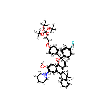 COc1cc2c3c(c4c(c2cc1N1CCCCC1)-c1ccccc1C4(C)C)C=CC(c1ccc(F)cc1)(c1ccc(OCCO[Si](OC(C)(C)C)(OC(C)(C)C)OC(C)(C)C)cc1)O3